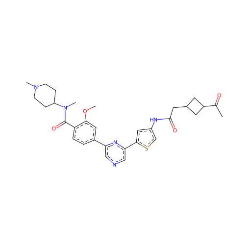 COc1cc(-c2cncc(-c3cc(NC(=O)CC4CC(C(C)=O)C4)cs3)n2)ccc1C(=O)N(C)C1CCN(C)CC1